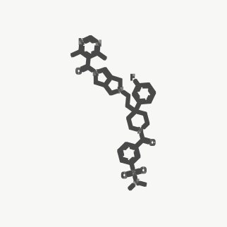 Cc1ncnc(C)c1C(=O)N1C=C2CN(CCC3(c4cccc(F)c4)CCN(C(=O)c4cccc(S(=O)(=O)N(C)C)c4)CC3)CC2C1